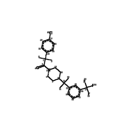 CC(C)(C(=O)N1CCC(C(C)(C)c2cccc(C(F)(F)F)c2)CC1)c1ccc(Cl)cc1